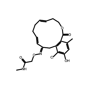 CNC(=O)CO/N=C1\C=C\CC/C=C/CCOC(=O)c2c(C)cc(O)c(Cl)c2C1